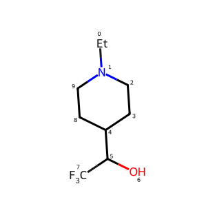 CCN1CCC(C(O)C(F)(F)F)CC1